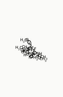 COC1CCN(Cc2cnc3c(C(=O)Nc4cnccc4N4CC(NC(=O)OC(C)(C)C)C[C@@H](C(F)(F)F)C4)c(NC(=O)OC(C)(C)C)oc3c2)CC1